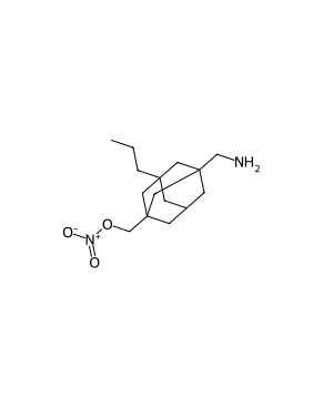 CCCC12CC3CC(CN)(C1)CC(CO[N+](=O)[O-])(C3)C2